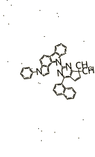 CC1(C)C=Cc2c(-c3cccc4ccccc34)nc(-n3c4ccccc4c4ccc5c(ccn5-c5ccccc5)c43)nc21